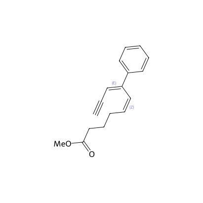 C#C/C=C(\C=C/CCCC(=O)OC)c1ccccc1